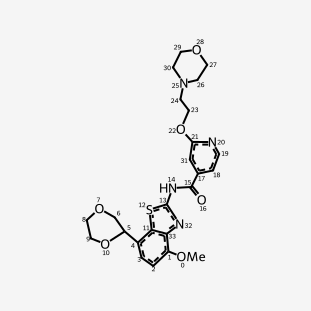 COc1ccc(C2COCCO2)c2sc(NC(=O)c3ccnc(OCCN4CCOCC4)c3)nc12